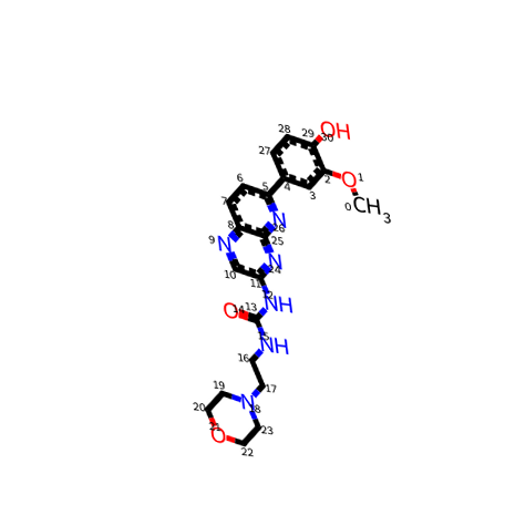 COc1cc(-c2ccc3ncc(NC(=O)NCCN4CCOCC4)nc3n2)ccc1O